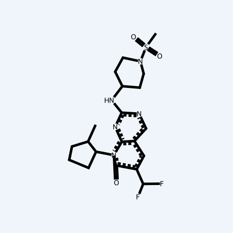 CC1CCCC1n1c(=O)c(C(F)F)cc2cnc(NC3CCN(S(C)(=O)=O)CC3)nc21